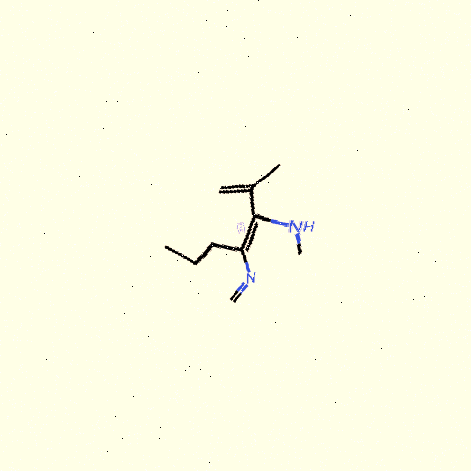 C=N/C(CCC)=C(\NC)C(=C)C